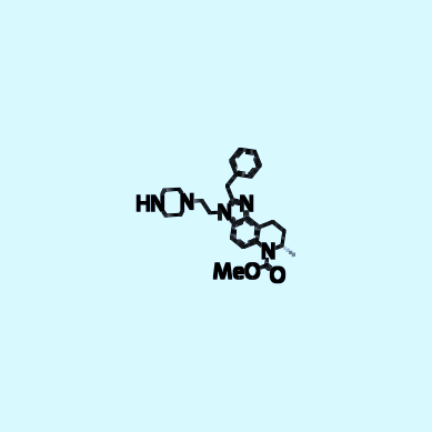 COC(=O)N1c2ccc3c(nc(Cc4ccccc4)n3CCN3CCNCC3)c2CC[C@@H]1C